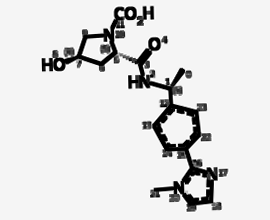 C[C@H](NC(=O)[C@@H]1C[C@@H](O)CN1C(=O)O)c1ccc(-c2nccn2C)cc1